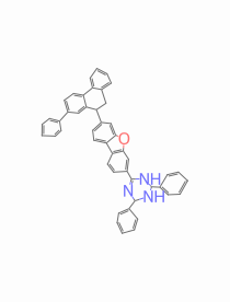 c1ccc(-c2ccc3c(c2)C(c2ccc4c(c2)oc2cc(C5=NC(c6ccccc6)NC(c6ccccc6)N5)ccc24)Cc2ccccc2-3)cc1